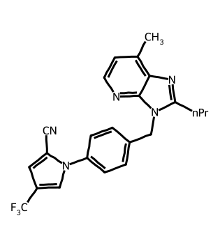 CCCc1nc2c(C)ccnc2n1Cc1ccc(-n2cc(C(F)(F)F)cc2C#N)cc1